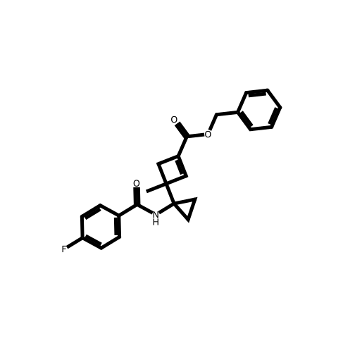 CC1(C2(NC(=O)c3ccc(F)cc3)CC2)C=C(C(=O)OCc2ccccc2)C1